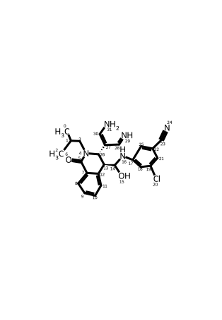 CC(C)CN1C(=O)c2ccccc2[C@H](C(O)Nc2cc(Cl)cc(C#N)c2)[C@H]1/C(C=N)=C/N